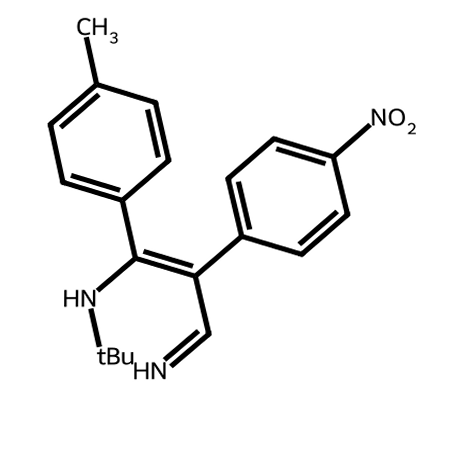 Cc1ccc(/C(NC(C)(C)C)=C(/C=N)c2ccc([N+](=O)[O-])cc2)cc1